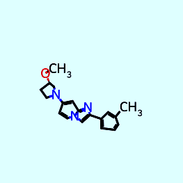 CO[C@@H]1CCN(c2ccn3cc(-c4cccc(C)c4)nc3c2)C1